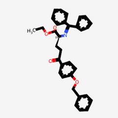 CCOC(=O)[C@H](CCC(=O)c1ccc(OCc2ccccc2)cc1)N=C(c1ccccc1)c1ccccc1